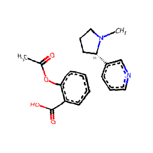 CC(=O)Oc1ccccc1C(=O)O.CN1CCC[C@H]1c1cccnc1